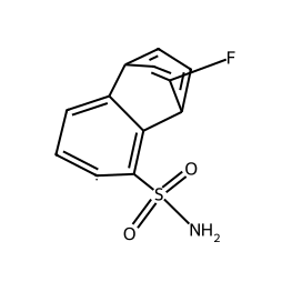 NS(=O)(=O)c1[c]ccc2c3ccc(c(F)c3)c12